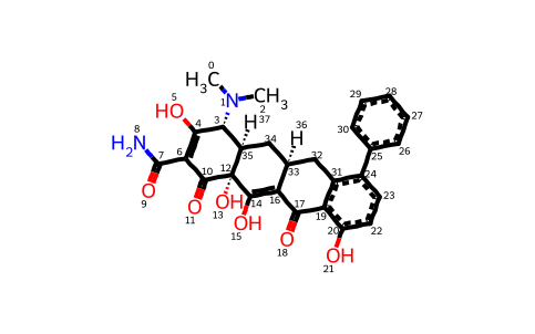 CN(C)[C@H]1C(O)=C(C(N)=O)C(=O)[C@]2(O)C(O)=C3C(=O)c4c(O)ccc(-c5ccccc5)c4C[C@@H]3C[C@H]12